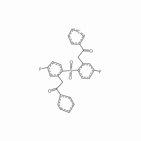 O=C(Cc1cc(F)ccc1S(=O)(=O)c1ccc(F)cc1CC(=O)c1ccccc1)c1ccccc1